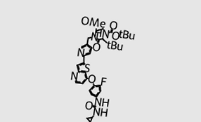 COCCN(Cc1ccc(-c2cc3nccc(Oc4ccc(NC(=O)NC5CC5)cc4F)c3s2)nc1)C(=O)C(NC(=O)OC(C)(C)C)C(C)(C)C